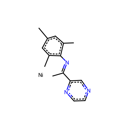 CC(=Nc1c(C)cc(C)cc1C)c1cnccn1.[Ni]